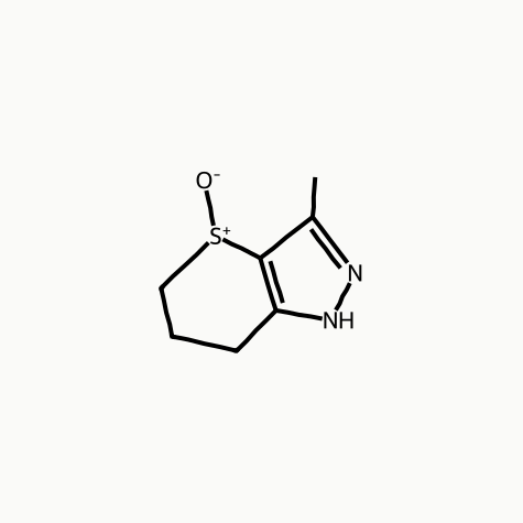 Cc1n[nH]c2c1[S+]([O-])CCC2